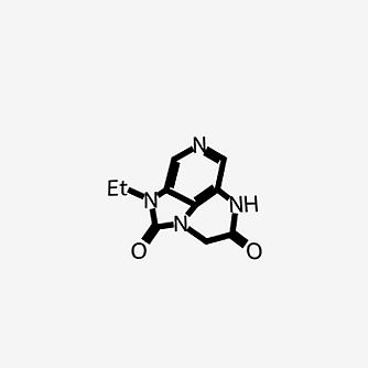 CCn1c(=O)n2c3c(cncc31)NC(=O)C2